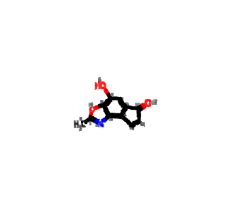 Cc1nc2c3c(cc(O)c2o1)C(=O)CC3